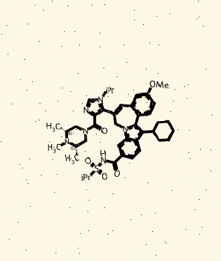 COc1ccc2c(c1)C=C(c1c(C(=O)N3C[C@@H](C)N(C)[C@@H](C)C3)ncn1C(C)C)Cn1c-2c(C2CCCCC2)c2ccc(C(=O)NS(=O)(=O)C(C)C)cc21